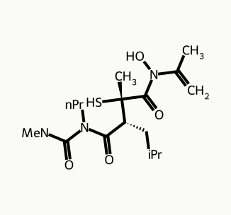 C=C(C)N(O)C(=O)[C@@](C)(S)[C@H](CC(C)C)C(=O)N(CCC)C(=O)NC